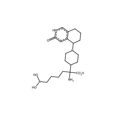 NC(CCCCB(O)O)(C(=O)O)C1CCN(C2CCCc3c[nH]c(=O)cc32)CC1